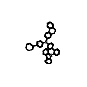 C1=CCC(c2ccc(N(c3ccc(-c4ccccc4-n4c5ccccc5c5ccccc54)cc3)c3ccc4c(c3)CCc3ccccc3-4)cc2)CC1